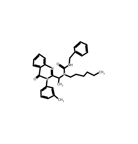 CCCCCCN(C(=O)NCc1ccccc1)C(C)c1nc2ccccc2c(=O)n1-c1cccc(C)c1